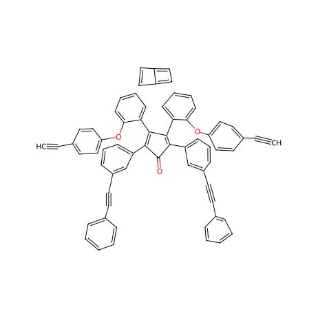 C#Cc1ccc(Oc2ccccc2C2=C(c3cccc(C#Cc4ccccc4)c3)C(=O)C(c3cccc(C#Cc4ccccc4)c3)=C2c2ccccc2Oc2ccc(C#C)cc2)cc1.c1cc2ccc1-2